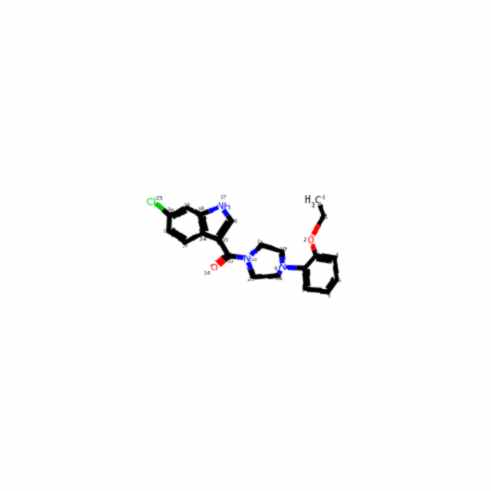 CCOc1ccccc1N1CCN(C(=O)c2c[nH]c3cc(Cl)ccc23)CC1